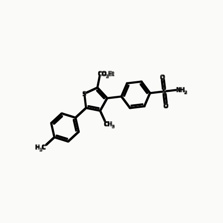 CCOC(=O)c1sc(-c2ccc(C)cc2)c(C)c1-c1ccc(S(N)(=O)=O)cc1